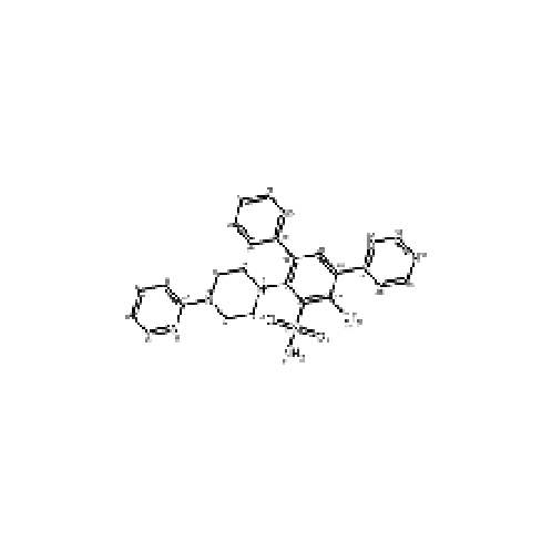 NS(=O)(=O)c1c(N2CCN(c3ccccn3)CC2)c(-c2ccccc2)cc(-c2ccncn2)c1C(F)(F)F